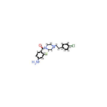 Nc1ccc(C(=O)N2CCN(CCc3ccc(Cl)cc3)CC2)c(F)c1